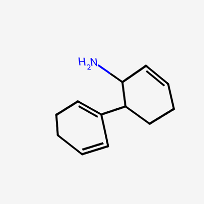 NC1C=CCCC1C1=CCCC=C1